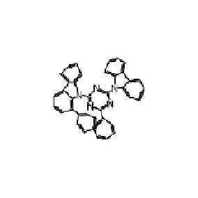 c1ccc(-c2nc(-n3c4ccccc4c4ccccc43)nc(-n3c4ccccc4c4cccc(-c5ccccc5)c43)n2)cc1